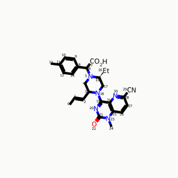 CC=CC1CN(C(C(=O)O)c2ccc(C)cc2)[C@H](CC)CN1c1nc(=O)n(C)c2ccc(C#N)nc12